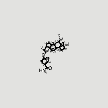 CNC(=O)c1ccc(OC[C@@H](C)[C@H]2CC[C@H]3[C@@H]4CC(OC)[C@]56C[C@H]5CC[C@]6(C)[C@H]4CC[C@]23C)nc1